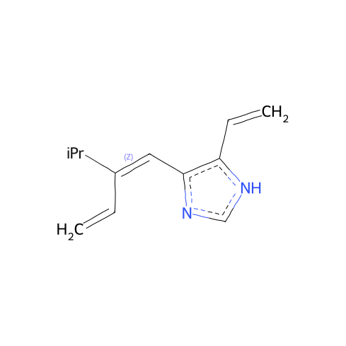 C=C/C(=C\c1nc[nH]c1C=C)C(C)C